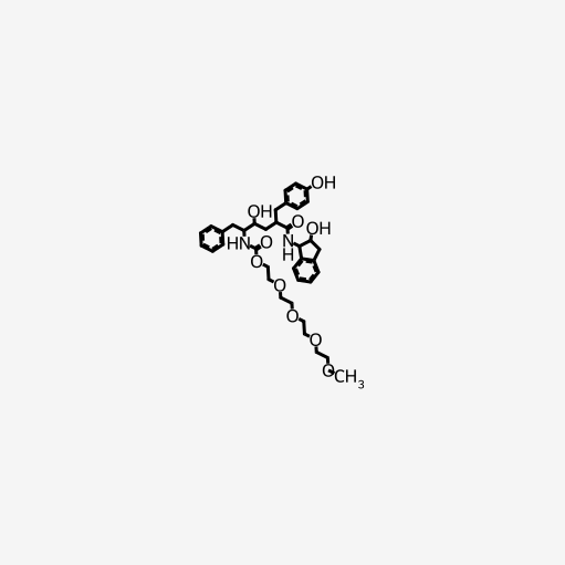 COCCOCCOCCOCCOC(=O)NC(Cc1ccccc1)C(O)CC(Cc1ccc(O)cc1)C(=O)NC1c2ccccc2CC1O